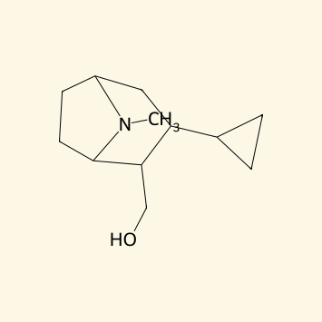 CN1C2CCC1C(CO)C(C1CC1)C2